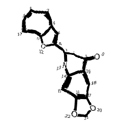 O=C1CC(c2cc3ccccc3o2)=Nc2cc3c(cc21)OCO3